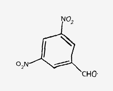 O=[C]c1cc([N+](=O)[O-])cc([N+](=O)[O-])c1